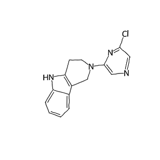 Clc1cncc(N2CCc3[nH]c4ccccc4c3C2)n1